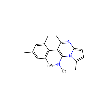 CCCN(CC)c1c(-c2c(C)cc(C)cc2C)c(C)nc2ccc(C)n12